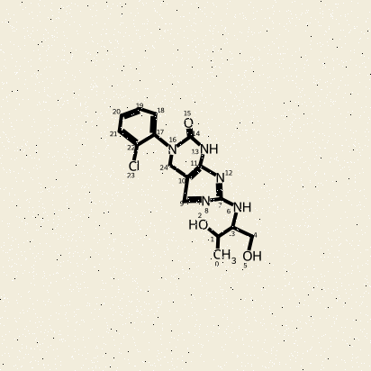 CC(O)C(CO)Nc1ncc2c(n1)NC(=O)N(c1ccccc1Cl)C2